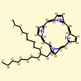 CCCCCCCCCC(CCCCCCCC)CC1=CC2=CC3=NC(=CC4=NC(=CC5=NC(=CC1=N2)C=C5)C=C4)C=C3